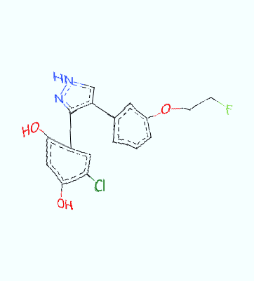 Oc1cc(O)c(-c2n[nH]cc2-c2cccc(OCCF)c2)cc1Cl